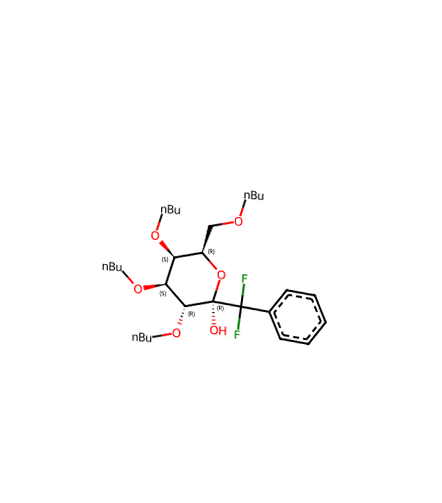 CCCCOC[C@H]1O[C@@](O)(C(F)(F)c2ccccc2)[C@H](OCCCC)[C@@H](OCCCC)[C@H]1OCCCC